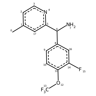 Cc1ccnc(C(N)c2ccc(OC(F)(F)F)c(F)c2)c1